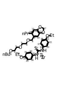 CCCCOCCOCCOCc1cc2c(cc1CCC)OCO2.CCOc1ccc(NC(=S)Nc2ccc(OCC)cc2)cc1.[Ti].[Zr]